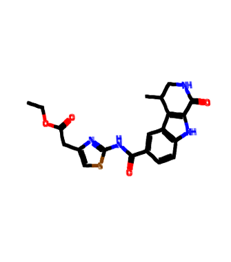 CCOC(=O)Cc1csc(NC(=O)c2ccc3[nH]c4c(c3c2)C(C)CNC4=O)n1